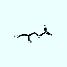 O=P(=O)OCC(O)CO